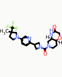 CC1(C(F)(F)F)CCN(c2ccc(C3CN(C(=O)N4CC[C@@H]5OCC(=O)N[C@@H]5C4)C3)nc2)C1